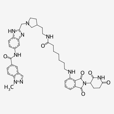 Cn1ncc2cc(C(=O)Nc3ccc4[nH]c(CN5CCC(CCNC(=O)CCCCCCNc6cccc7c6C(=O)N(C6CCC(=O)NC6=O)C7=O)C5)nc4c3)ccc21